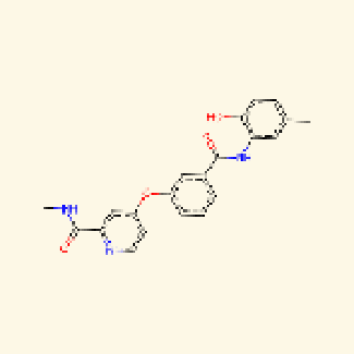 CNC(=O)c1cc(Oc2cccc(C(=O)Nc3cc(C)ccc3O)c2)ccn1